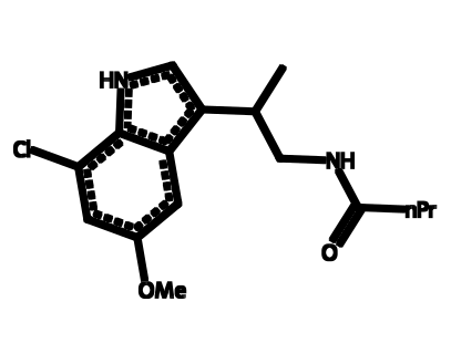 CCCC(=O)NCC(C)c1c[nH]c2c(Cl)cc(OC)cc12